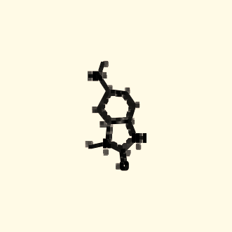 CNc1ccc2[nH]c(=O)n(C)c2c1